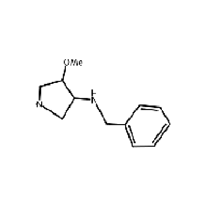 COC1C[N]CC1NCc1ccccc1